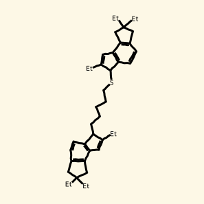 CCC1=Cc2c(ccc3c2CC(CC)(CC)C3)C1CCCCCSC1C(CC)=Cc2c1ccc1c2CC(CC)(CC)C1